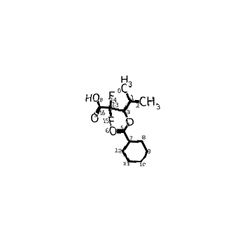 CC(C)C(OC(=O)C1CCCCC1)C(F)(F)C(=O)O